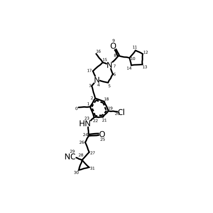 Cc1c(CN2CCN(C(=O)C3CCCC3)C(C)C2)cc(Cl)cc1NC(=O)CCC1(C#N)CC1